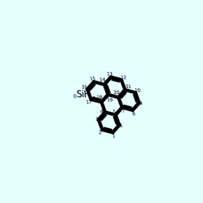 [SiH4].c1ccc2c(c1)c1cccc3ccc4cccc2c4c31